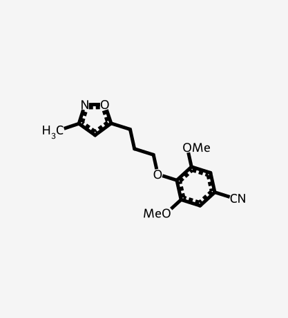 COc1cc(C#N)cc(OC)c1OCCCc1cc(C)no1